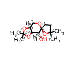 CC1(C)CC[C@@]2(OC[C@@H]3OC(C)(C)O[C@@H]3[C@H]2O)O1